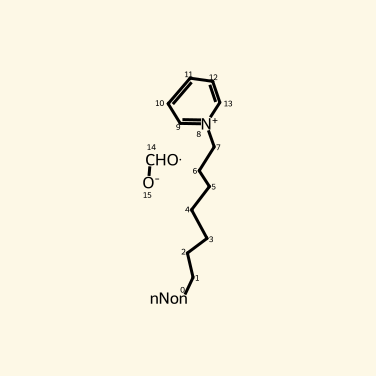 CCCCCCCCCCCCCCCC[n+]1ccccc1.O=[C][O-]